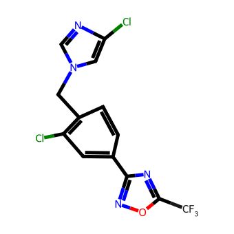 FC(F)(F)c1nc(-c2ccc(Cn3cnc(Cl)c3)c(Cl)c2)no1